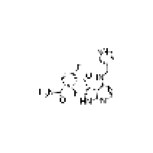 NC(=O)c1ccc(F)c(C(=O)c2c[nH]c3ncnc(NCc4ccnnc4)c23)c1F